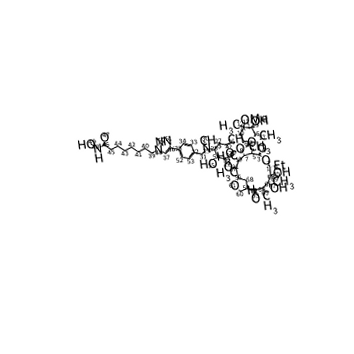 CC[C@H]1OC(=O)[C@H](C)[C@@H](O[C@H]2C[C@@](C)(OC)[C@@H](O)[C@H](C)O2)[C@H](C)[C@@H](O[C@@H]2O[C@H](C)C[C@H](N(C)Cc3ccc(-c4cn(CCCCCCCC(=O)NO)nn4)cc3)[C@H]2O)[C@@]2(C)C[C@@H](CO2)C(=O)[C@H](C)[C@@H](O)[C@]1(C)O